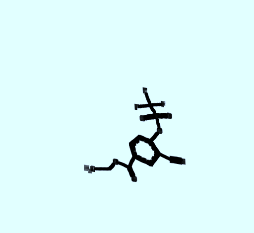 CCOC(=O)c1ccc(OS(=O)(=O)C(F)(F)F)c(C#N)c1